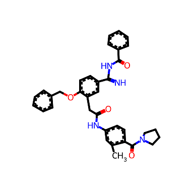 Cc1cc(NC(=O)Cc2cc(C(=N)NC(=O)c3ccccc3)ccc2OCc2ccccc2)ccc1C(=O)N1CCCC1